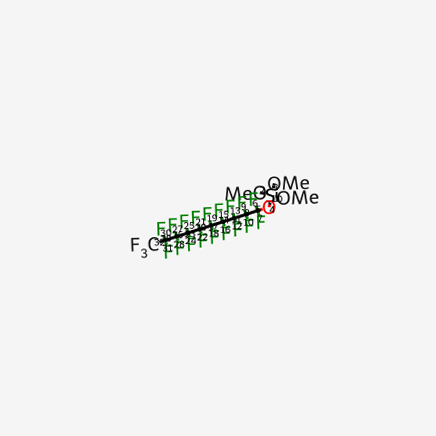 CO[Si](OC)(OC)OC(F)(F)C(F)(F)C(F)(F)C(F)(F)C(F)(F)C(F)(F)C(F)(F)C(F)(F)C(F)(F)C(F)(F)F